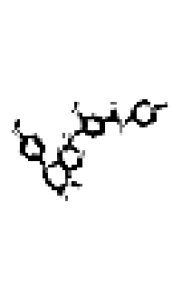 COc1ccc(N2CCC(=O)N(C)c3cnc(Nc4ccc(C(=O)NC5CCN(C)CC5)cc4OC)nc32)cc1